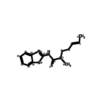 CC=CCCN(C)C(=S)Nc1nc2ccccc2s1